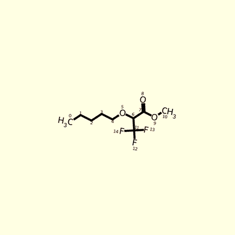 CCCCCOC(C(=O)OC)C(F)(F)F